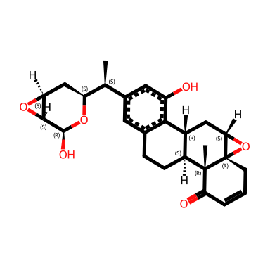 C[C@@H](c1cc(O)c2c(c1)CC[C@H]1[C@H]2C[C@@H]2O[C@@]23CC=CC(=O)[C@]13C)[C@@H]1C[C@@H]2O[C@@H]2[C@H](O)O1